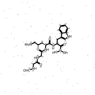 CCCN(CCC)C(=O)C(Cc1c[nH]c2ccccc12)NC(=O)[C@H](CCCNC)NC(=O)CNC(=O)CNC=O